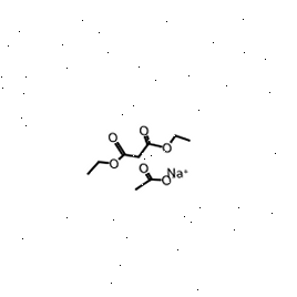 CC(=O)[O-].CCOC(=O)CC(=O)OCC.[Na+]